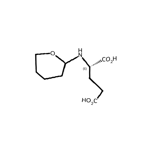 O=C(O)CC[C@H](NC1CCCCO1)C(=O)O